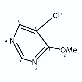 COc1n[c]ncc1Cl